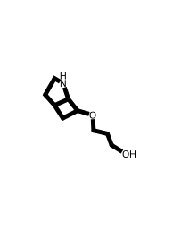 OCCCOC1CC2CCNC21